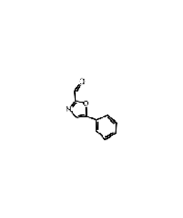 O=Cc1ncc(-c2ccccc2)o1